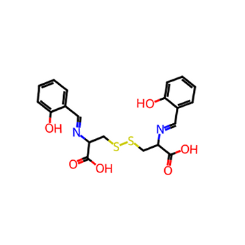 O=C(O)C(CSSCC(N=Cc1ccccc1O)C(=O)O)N=Cc1ccccc1O